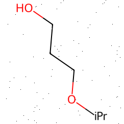 [CH2]C(C)OCCCO